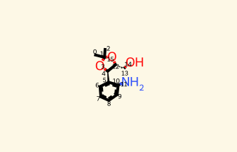 CC1(C)O[C@H](c2ccccc2N)[C@@H](CO)O1